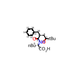 CCCC[C@H](NC(=O)[C@H](CC(=O)C(C)(C)C)Cc1ccccc1)C(=O)O